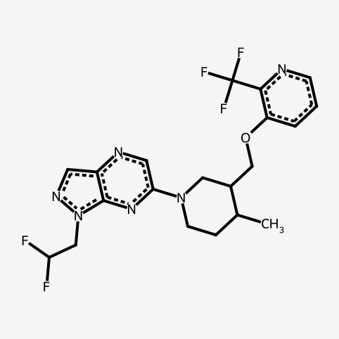 CC1CCN(c2cnc3cnn(CC(F)F)c3n2)CC1COc1cccnc1C(F)(F)F